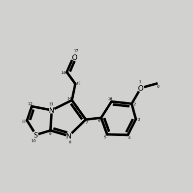 COc1cccc(-c2nc3sccn3c2CC=O)c1